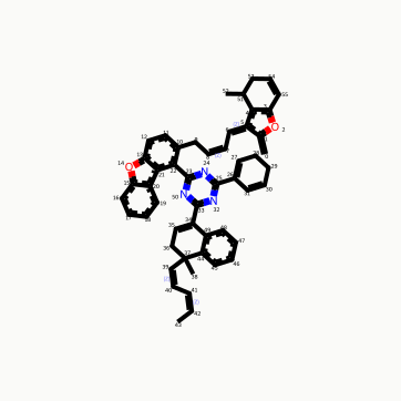 C=c1oc2c(/c1=C/C=C\Cc1ccc3oc4ccccc4c3c1-c1nc(C3=CCCC=C3)nc(C3=CCC(C)(/C=C\C=C/C)c4ccccc43)n1)C(C)CC=C2